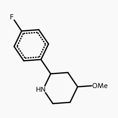 COC1CCNC(c2ccc(F)cc2)C1